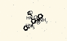 NS(=O)(=O)c1cc(C(=S)NCc2ccccc2)cc(NCc2ccco2)c1Oc1ccccc1